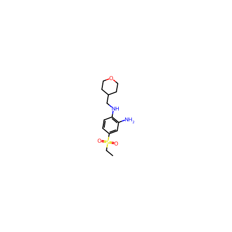 CCS(=O)(=O)c1ccc(NCC2CCOCC2)c(N)c1